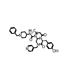 CN1CC(=O)N2C(CN(Cc3ccncc3)C(=O)[C@@H]2Cc2ccc(O)cc2)N1C(=O)NC1CCN(Cc2ccccc2)CC1